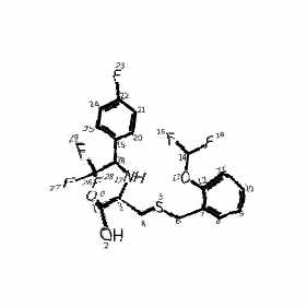 O=C(O)[C@H](CSCc1ccccc1OC(F)F)NC(c1ccc(F)cc1)C(F)(F)F